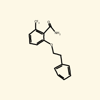 NC(=O)c1c(OC[CH]c2ccccc2)cccc1C(F)(F)F